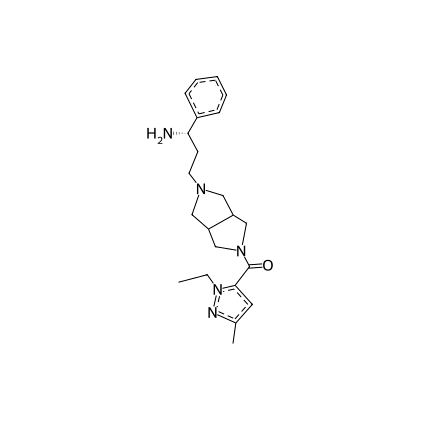 CCn1nc(C)cc1C(=O)N1CC2CN(CC[C@H](N)c3ccccc3)CC2C1